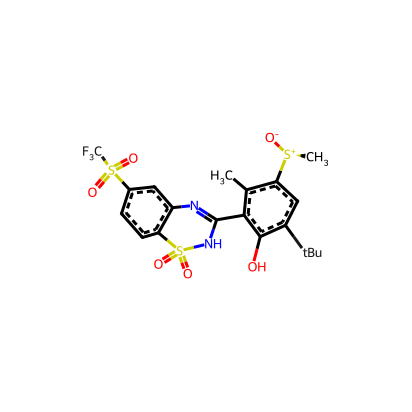 Cc1c([S@+](C)[O-])cc(C(C)(C)C)c(O)c1C1=Nc2cc(S(=O)(=O)C(F)(F)F)ccc2S(=O)(=O)N1